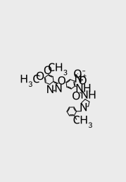 COc1cc2ncnc(Oc3ccc(NC(=O)NC4CCN(Cc5ccccc5C)C4)c([N+](=O)[O-])c3)c2cc1OC